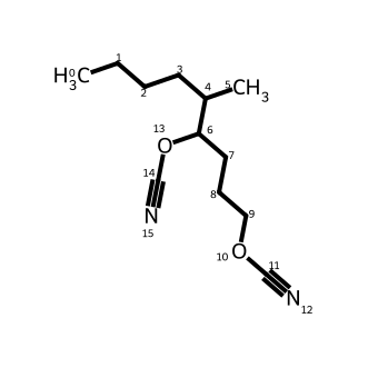 CCCCC(C)C(CCCOC#N)OC#N